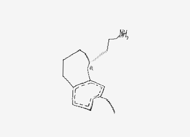 Cc1ccc2c(c1)[C@@H](CCN)CCC2